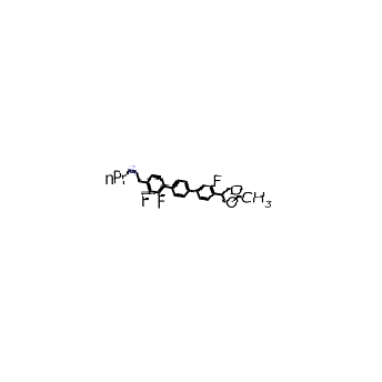 CCC/C=C\Cc1ccc(-c2ccc(-c3ccc(C4COC(C)OC4)c(F)c3)cc2)c(F)c1F